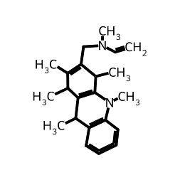 C=CN(C)CC1=C(C)C(C)C2=C(C1C)N(C)C1=C(C=C=C=C1)C2C